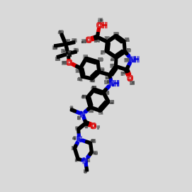 CN1CCN(CC(=O)N(C)c2ccc(N/C(=C3\C(=O)Nc4ccc(C(=O)O)cc43)c3ccc(O[Si](C)(C)C(C)(C)C)cc3)cc2)CC1